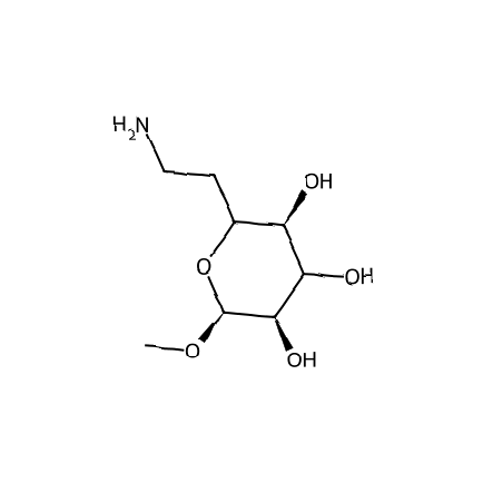 CO[C@H]1OC(CCN)[C@@H](O)C(O)[C@H]1O